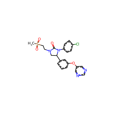 CS(=O)(=O)CCN1CC(c2cccc(Oc3cncnc3)c2)N(c2ccc(Cl)cc2)C1=O